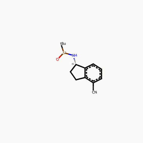 CC(C)(C)[S+]([O-])N[C@H]1CCc2c(C#N)cccc21